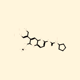 N=NNC1NC2=CC=C(NC(=O)NC3CCCC3)NC2C=C1/C(=C/N)CN